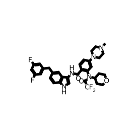 CN1CCN(c2ccc(C(=O)Nc3c[nH]c4ccc(Cc5cc(F)cc(F)c5)cc34)c(N(C(=O)C(F)(F)F)C3CCOCC3)c2)CC1